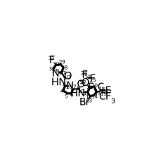 O=C(Nc1cccc(C(=O)Nc2c(Br)cc(C(F)(C(F)(F)F)C(F)(F)F)cc2OC(F)F)n1)c1ccc(F)cn1